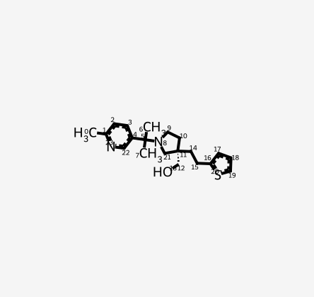 Cc1ccc(C(C)(C)N2CC[C@@](CO)(CCc3cccs3)C2)cn1